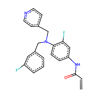 C=CC(=O)Nc1ccc(N(Cc2ccncc2)Cc2cccc(F)c2)c(F)c1